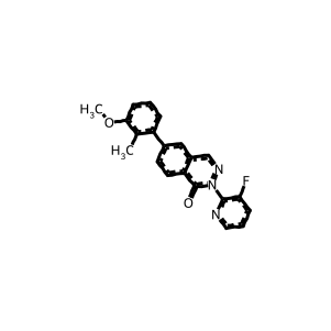 COc1cccc(-c2ccc3c(=O)n(-c4ncccc4F)ncc3c2)c1C